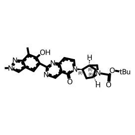 Cc1c(O)c(-c2ncc3c(=O)n([C@@H]4C[C@H]5C[C@@H]4CN5C(=O)OC(C)(C)C)ccc3n2)cc2cn(C)nc12